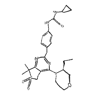 CC[C@H]1COCCN1c1nc(-c2ccc(NC(=O)NC3CC3)cc2)nc2c1CS(=O)(=O)C2(C)C